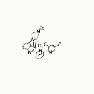 CCN1CCN(c2cccc3nc([C@H]4CCC[C@@H](c5ncc(F)cc5C)N4)[nH]c23)CC1